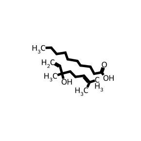 C=CC(C)(O)CCC=C(C)C.CCCCCCCCCC(=O)O